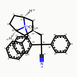 C[N+]1(Cc2ccccc2)[C@@H]2CC[C@H]1C[C@@H](CC(C#N)(c1ccccc1)c1ccccc1)C2